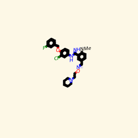 CNc1ccc(/C=N/OCCN2CCCCC2)cc1C(=N)Nc1ccc(OCc2cccc(F)c2)c(Cl)c1